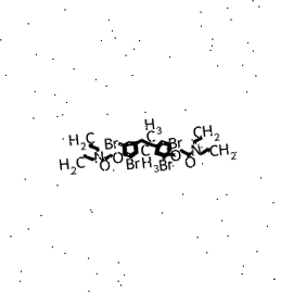 C=CCN(CC=C)C(=O)COc1c(Br)cc(CC(C)(C)c2cc(Br)c(OCC(=O)N(CC=C)CC=C)c(Br)c2)cc1Br